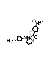 Cc1ccc(Nc2cccnc2NC(=O)c2ccc([N+](=O)[O-])cc2)cc1